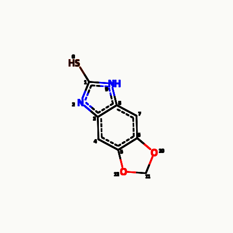 Sc1nc2cc3c(cc2[nH]1)OCO3